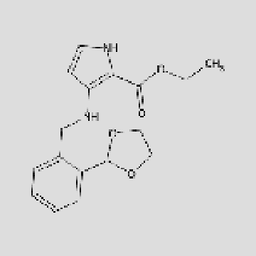 CCOC(=O)c1[nH]ccc1NCc1ccccc1C1OCCO1